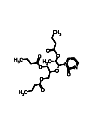 CCCC(=O)OCC(COC(=O)CCC)O[C@H]([C@H](C)OC(=O)CCC)n1cccnc1=O